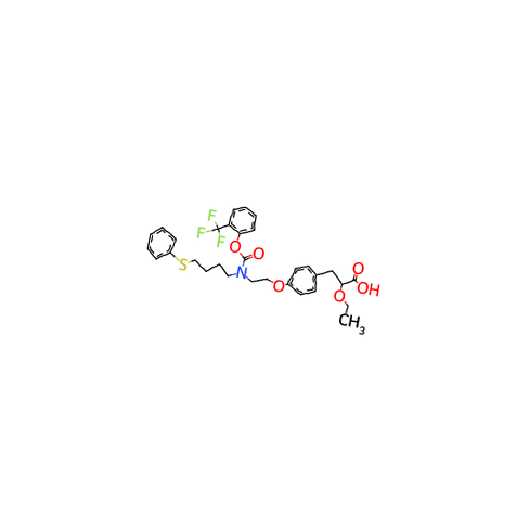 CCOC(Cc1ccc(OCCN(CCCCSc2ccccc2)C(=O)Oc2ccccc2C(F)(F)F)cc1)C(=O)O